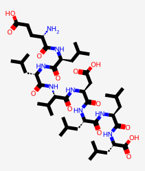 CC(C)C[C@H](NC(=O)[C@H](CC(C)C)NC(=O)[C@H](CC(C)C)NC(=O)[C@H](CC(=O)O)NC(=O)[C@@H](NC(=O)[C@H](CC(C)C)NC(=O)[C@H](CC(C)C)NC(=O)[C@@H](N)CCC(=O)O)C(C)C)C(=O)O